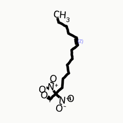 CCCC/C=C\CCCCCCC([C]=O)([N+](=O)[O-])[N+](=O)[O-]